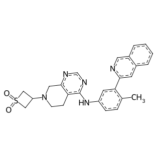 Cc1ccc(Nc2ncnc3c2CCN(C2CS(=O)(=O)C2)C3)cc1-c1cc2ccccc2cn1